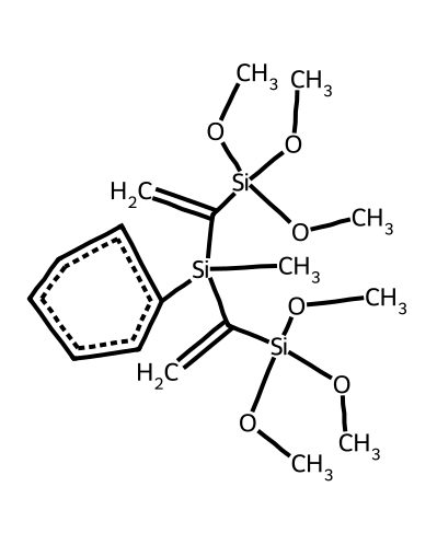 C=C([Si](OC)(OC)OC)[Si](C)(C(=C)[Si](OC)(OC)OC)c1ccccc1